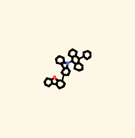 c1ccc(-c2c3ccccc3c(-n3c4ccccc4c4cc(-c5cccc6c5oc5ccccc56)ccc43)c3ccccc23)cc1